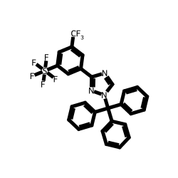 FC(F)(F)c1cc(-c2ncn(C(c3ccccc3)(c3ccccc3)c3ccccc3)n2)cc(S(F)(F)(F)(F)F)c1